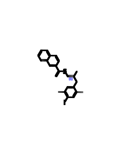 C=C(S/C=C(\C)Cc1cc(C)c(I)cc1C)c1ccc2ccccc2c1